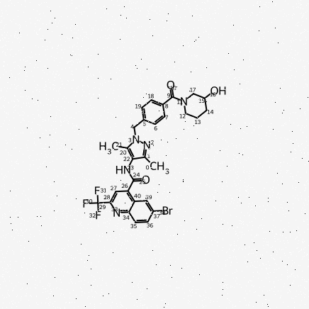 Cc1nn(Cc2ccc(C(=O)N3CCCC(O)C3)cc2)c(C)c1NC(=O)c1cc(C(F)(F)F)nc2ccc(Br)cc12